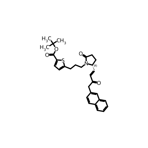 CC(C)(C)OC(=O)c1ccc(CCCN2C(=O)CC[C@@H]2C=CC(=O)Cc2ccc3ccccc3c2)s1